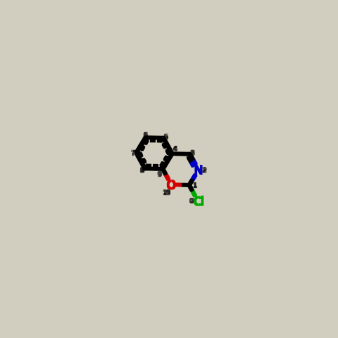 ClC1N=Cc2ccccc2O1